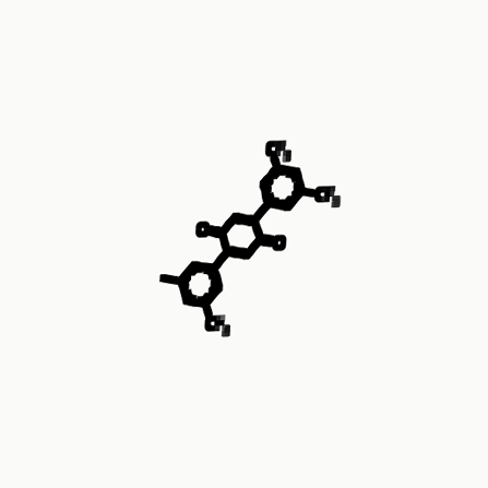 Cc1cc(C2=CC(=O)C(c3cc(C(F)(F)F)cc(C(F)(F)F)c3)=CC2=O)cc(C(F)(F)F)c1